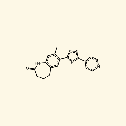 Cc1cc2c(cc1-c1csc(-c3ccncc3)n1)CCCC(=O)N2